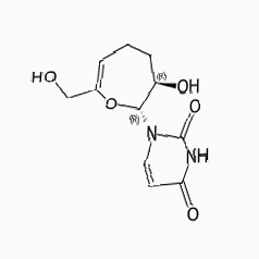 O=c1ccn([C@@H]2OC(CO)=CCC[C@H]2O)c(=O)[nH]1